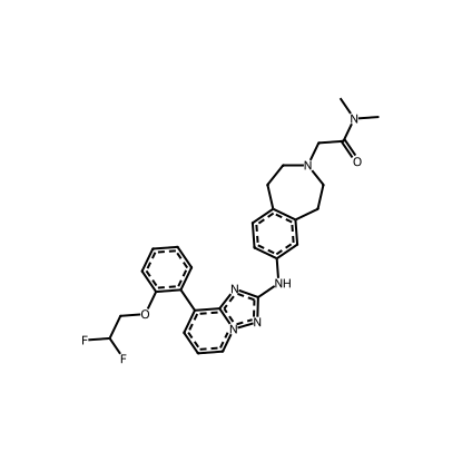 CN(C)C(=O)CN1CCc2ccc(Nc3nc4c(-c5ccccc5OCC(F)F)cccn4n3)cc2CC1